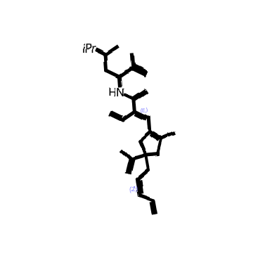 C=C/C=C\CC1(C(=C)C)CC(C)=C(/C=C(\C=C)C(=C)NC(CC(C)C(C)C)C(=C)C)C1